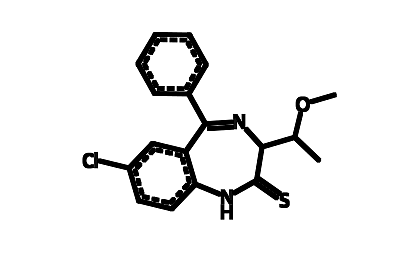 COC(C)C1N=C(c2ccccc2)c2cc(Cl)ccc2NC1=S